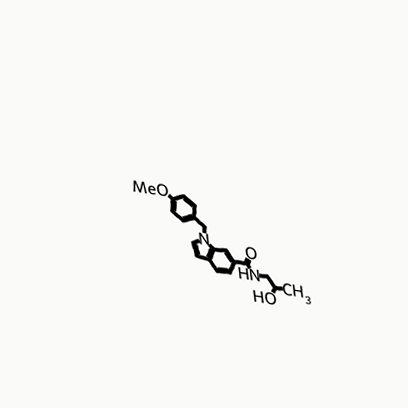 COc1ccc(Cn2ccc3ccc(C(=O)NCC(C)O)cc32)cc1